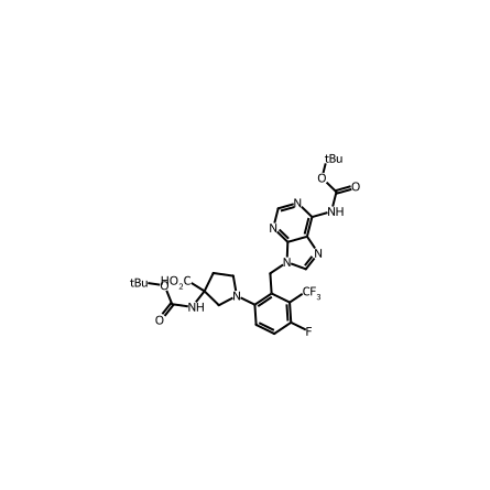 CC(C)(C)OC(=O)Nc1ncnc2c1ncn2Cc1c(N2CCC(NC(=O)OC(C)(C)C)(C(=O)O)C2)ccc(F)c1C(F)(F)F